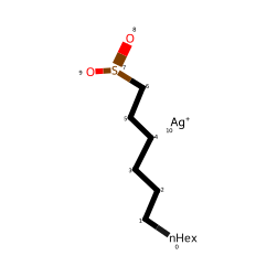 CCCCCCCCCCCCS(=O)[O-].[Ag+]